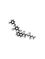 CN(C)CC(=O)NCCC(=O)Nc1ccc2ncnc(Nc3ccc(OCc4cccc(F)c4)c(Cl)c3)c2c1